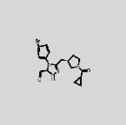 O=CC1NN=C(C[C@H]2CCN(C(=O)C3CC3)C2)N1c1ccc(Br)cc1